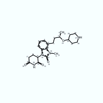 C[C@H](CCc1cccc2c1n(C)c(=O)n2C1CCC(=O)NC1=O)OC1CCNCC1